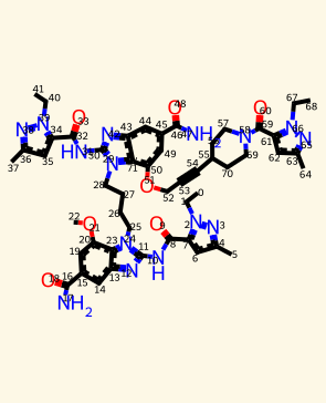 CCn1nc(C)cc1C(=O)Nc1nc2cc(C(N)=O)cc(OC)c2n1CCCCn1c(NC(=O)c2cc(C)nn2CC)nc2cc(C(N)=O)cc(OCC#CC3CCN(C(=O)c4cc(C)nn4CC)CC3)c21